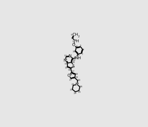 C=CPOc1cccc(Nc2ncnc3cc(-c4cc(CN5CCCCC5)co4)sc23)c1